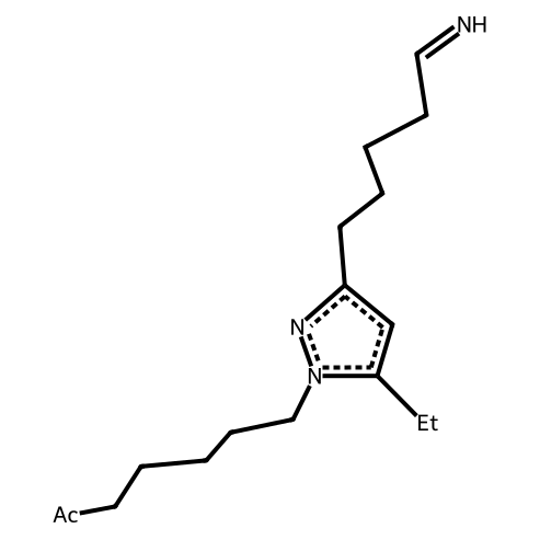 CCc1cc(CCCCC=N)nn1CCCCCC(C)=O